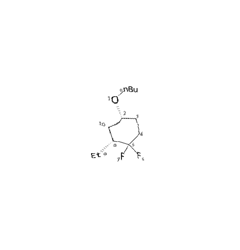 CCCCO[C@@H]1CCC(F)(F)[C@H](CC)C1